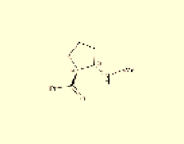 CSN[C@H]1CCC[C@@H]1C(=O)C(C)C